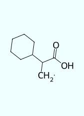 [CH2]C(C(=O)O)C1CCCCC1